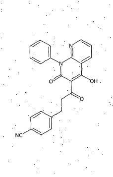 N#Cc1ccc(CCC(=O)c2c(O)c3cccnc3n(-c3ccccc3)c2=O)cc1